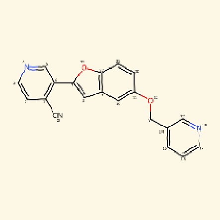 N#Cc1ccncc1-c1cc2cc(OCc3cccnc3)ccc2o1